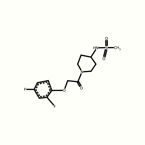 CS(=O)(=O)NC1CCN(C(=O)COc2ccc(F)cc2F)CC1